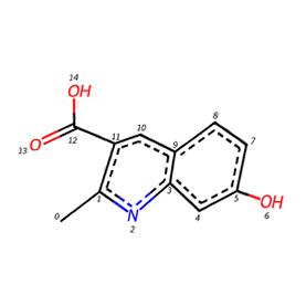 Cc1nc2cc(O)ccc2cc1C(=O)O